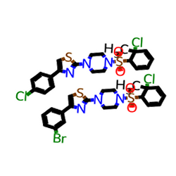 CC1(Cl)C=CC=CC1S(=O)(=O)N1CCN(c2nc(-c3ccc(Cl)cc3)cs2)CC1.CC1(Cl)C=CC=CC1S(=O)(=O)N1CCN(c2nc(-c3cccc(Br)c3)cs2)CC1